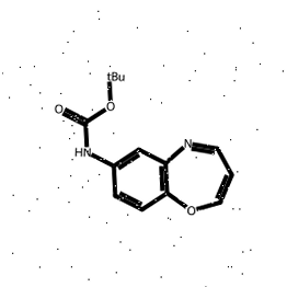 CC(C)(C)OC(=O)Nc1ccc2c(c1)N=CC=CO2